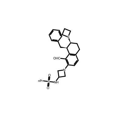 CCCS(=O)(=O)NC1CN(c2ccc3c(c2C=O)[C@@H](Cc2ccccc2)[C@@H](N2CCC2)CC3)C1